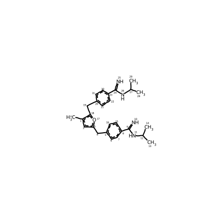 Cc1cc(Cc2ccc(C(=N)NC(C)C)cc2)oc1Cc1ccc(C(=N)NC(C)C)cc1